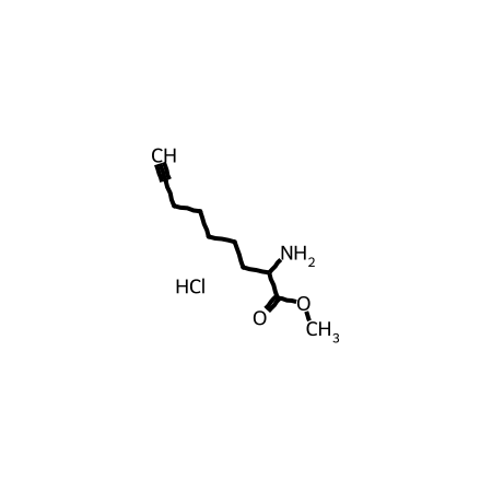 C#CCCCCCC(N)C(=O)OC.Cl